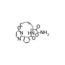 NC(=O)C(=O)[C@@H]1C/C=C\CCOc2ccnc(n2)-c2ccccc2C(=O)N1